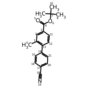 Cc1cc(C(=O)OC(C)(C)C)ccc1-c1ccc(C#N)cc1